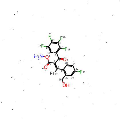 CCC(=C(C(=O)ON)C(=O)c1cc(F)c(F)c(F)c1F)c1ccc(F)cc1CO